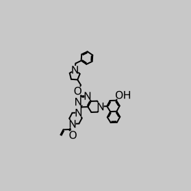 C=CC(=O)N1CCN(c2nc(OCC3CCN(Cc4ccccc4)C3)nc3c2CCN(c2cc(O)cc4ccccc24)C3)CC1